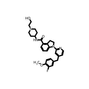 COc1ccc(Cc2ccnc(N3CCc4c(C(=O)NC5CCN(CCO)CC5)cccc43)c2)cc1F